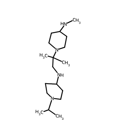 CNC1CCN(C(C)(C)CNC2CCN(C(C)C)CC2)CC1